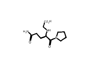 NC(=O)CCC(NCC(=O)O)C(=O)N1CCCC1